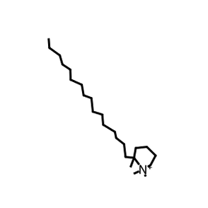 CCCCCCCCCCCCCCCCC1(C)CCCC[N+]1(C)C